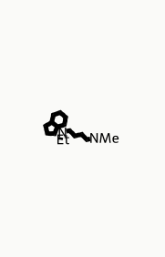 [CH2]NCCCCN(CC)C12CCCCC1CCC2